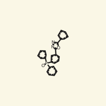 O=P(c1ccccc1)(c1ccccc1)c1cccc(-c2nnc(-c3ccccc3)o2)c1